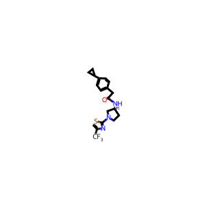 O=C(Cc1ccc(C2CC2)cc1)N[C@@H]1CCN(c2nc(C(F)(F)F)cs2)C1